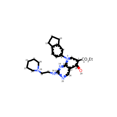 CCOC(=O)c1cn(-c2ccc3c(c2)CCC3)c2nc(NCCN3CCCCC3)ncc2c1=O